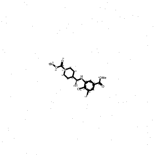 CC[C@H](Nc1cc(C(=O)OC)cc(F)c1Cl)C1CCN(C(=O)OC(C)(C)C)CC1